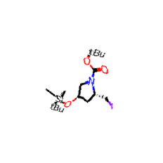 CC(C)(C)OC(=O)N1C[C@H](O[Si](C)(C)C(C)(C)C)C[C@H]1CI